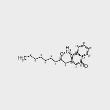 CCCCCCCC(=O)Cc1cc(=O)c2ccccc2n1C